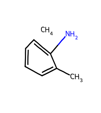 C.Cc1ccccc1N